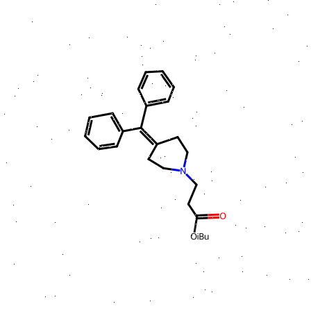 CC(C)COC(=O)CCN1CCC(=C(c2ccccc2)c2ccccc2)CC1